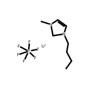 CCCCN1C=CN(C)C1.F[P-](F)(F)(F)(F)F.[Li+]